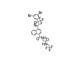 O=C(CNC(=O)c1ccc(C2=NOC(c3cc(Br)cc(Br)c3)(C(F)(F)F)C2)c2ccccc12)NCC(F)(F)F